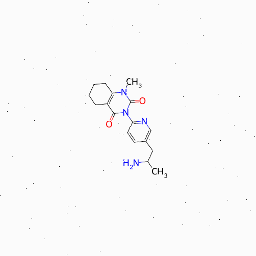 CC(N)Cc1ccc(-n2c(=O)c3c(n(C)c2=O)CCCC3)nc1